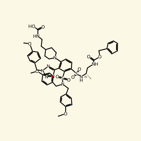 COc1ccc(CN(Cc2ccc(OC)cc2)S(=O)(=O)c2c(S(=O)(=O)N[C@@H](C)CNC(=O)OCc3ccccc3)ccc(N3CCC(CCNC(=O)O)CC3)c2-c2nnn(Cc3ccc(OC)cc3)n2)cc1